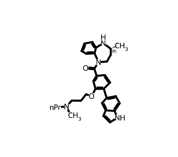 CCCN(C)CCCOc1cc(C(=O)N2CC[C@@H](C)Nc3ccccc32)ccc1-c1ccc2[nH]ccc2c1